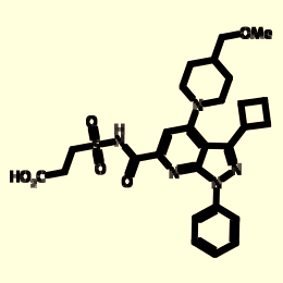 COCC1CCN(c2cc(C(=O)NS(=O)(=O)CCC(=O)O)nc3c2c(C2CCC2)nn3-c2ccccc2)CC1